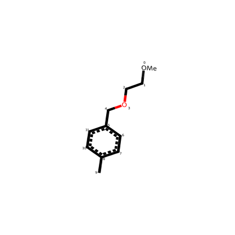 COCCOCc1ccc(C)cc1